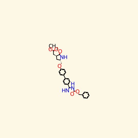 COC(=O)C[C@@H]1C[C@@H](COc2ccc(-c3ccc(C(=N)NC(=O)OCc4ccccc4)cc3)cc2)NC1=O